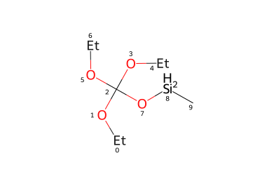 CCOC(OCC)(OCC)O[SiH2]C